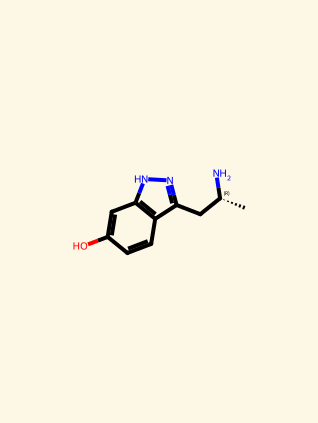 C[C@@H](N)Cc1n[nH]c2cc(O)ccc12